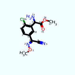 CO/N=C(\C#N)c1ccc(Cl)c(C(N)C(=O)OC)c1